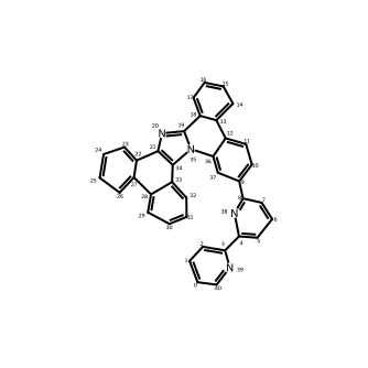 c1ccc(-c2cccc(-c3ccc4c5ccccc5c5nc6c7ccccc7c7ccccc7c6n5c4c3)n2)nc1